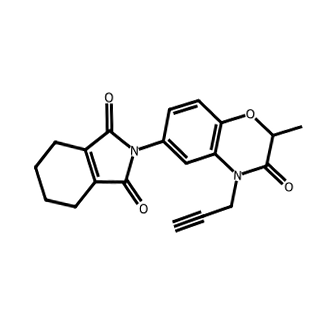 C#CCN1C(=O)C(C)Oc2ccc(N3C(=O)C4=C(CCCC4)C3=O)cc21